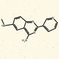 CBc1ccc2nc(-c3cccnc3)nc(N)c2c1